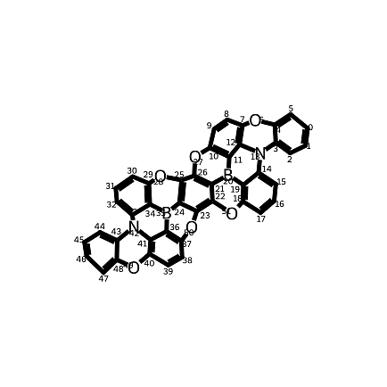 c1ccc2c(c1)Oc1ccc3c4c1N2c1cccc2c1B4c1c(c4c5c(c1O3)Oc1cccc3c1B5c1c(ccc5c1N3c1ccccc1O5)O4)O2